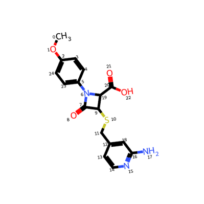 COc1ccc(N2C(=O)C(SCc3ccnc(N)c3)C2C(=O)O)cc1